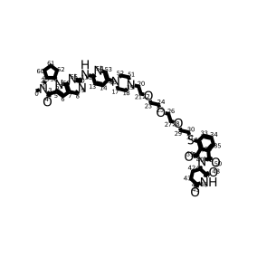 CN(C)C(=O)c1cc2cnc(Nc3ccc(N4CCN(CCOCCOCCOCCSc5cccc6c5C(=O)N(C5CCC(=O)NC5=O)C6=O)CC4)cn3)nc2n1C1CCCC1